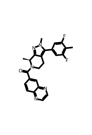 Cc1c(F)cc(-c2c3c(nn2C)[C@H](C)N(C(=O)c2ccc4nccnc4c2)CC3)cc1F